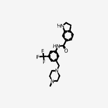 CN1CCN(Cc2cc(NC(=O)c3ccc4c(c3)NCC4)cc(C(F)(F)F)c2)CC1